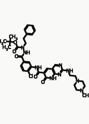 CN1CCN(CCNc2ncc3cc(C(=O)Nc4cc(C(=O)NN(CCc5ccccc5)C(=O)OC(C)(C)C)ccc4Cl)c(=O)[nH]c3n2)CC1